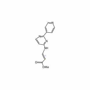 COC(=O)/C=C/Nc1ccnc(-c2ccncc2)n1